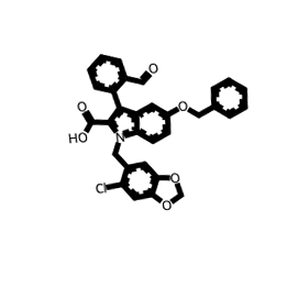 O=Cc1ccccc1-c1c(C(=O)O)n(Cc2cc3c(cc2Cl)OCO3)c2ccc(OCc3ccccc3)cc12